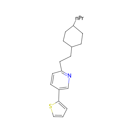 CCCC1CCC(CCc2ccc(-c3cccs3)cn2)CC1